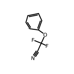 N#CC(F)(F)Oc1[c]cccc1